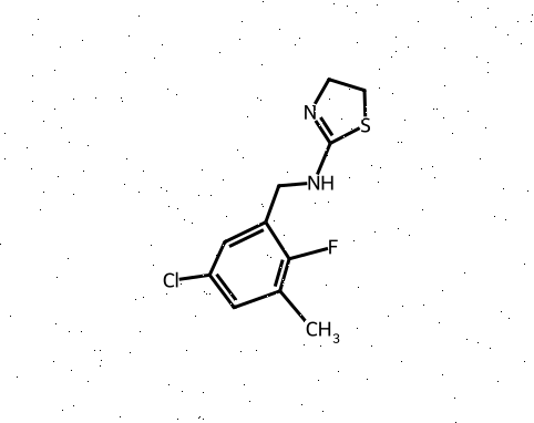 Cc1cc(Cl)cc(CNC2=NCCS2)c1F